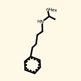 CCCCCCC(C)NCCCCc1ccccc1